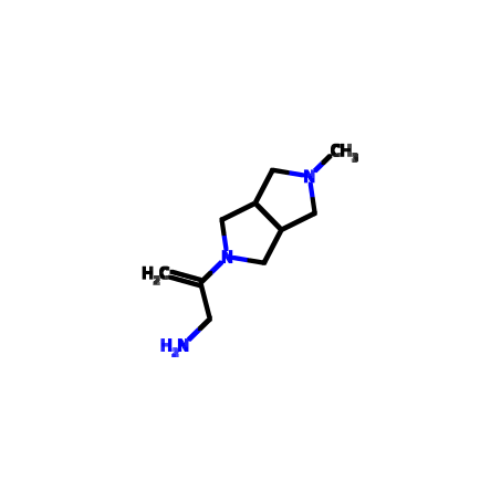 C=C(CN)N1CC2CN(C)CC2C1